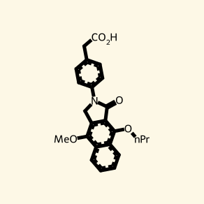 CCCOc1c2c(c(OC)c3ccccc13)CN(c1ccc(CC(=O)O)cc1)C2=O